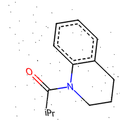 CC(C)C(=O)N1CCCc2ccccc21